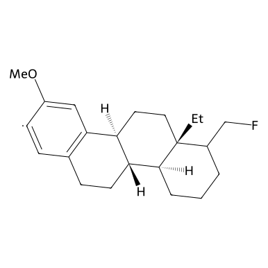 CC[C@]12CC[C@@H]3c4cc(OC)[c]cc4CC[C@H]3[C@@H]1CCCC2CF